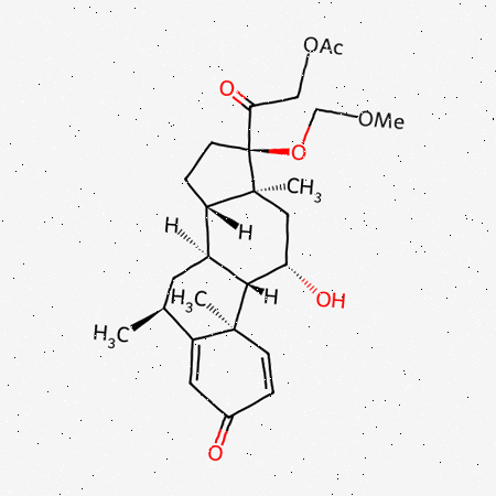 COCO[C@]1(C(=O)COC(C)=O)CC[C@H]2[C@@H]3C[C@H](C)C4=CC(=O)C=C[C@]4(C)[C@H]3[C@@H](O)C[C@@]21C